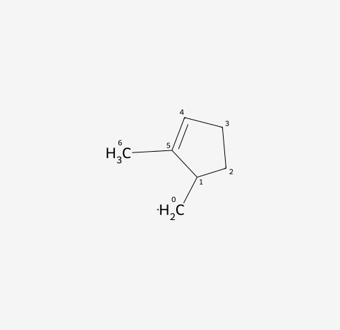 [CH2]C1CCC=C1C